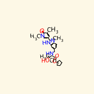 Cc1cc(C2Nc3cc(CNC(C(=O)OC4CCCC4)C(C)(C)O)ccc3N2C)cn(C)c1=O